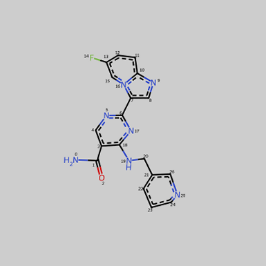 NC(=O)c1cnc(-c2cnc3ccc(F)cn23)nc1NCc1cccnc1